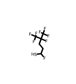 FC(S)CCC(F)(C(F)(F)F)C(F)(F)F